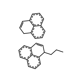 C1=Cc2cccc3cccc(c23)C1.CCCC1C=Cc2cccc3cccc1c23